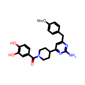 COc1ccc(Cc2cc(C3CCN(C(=O)c4ccc(O)c(O)c4)CC3)nc(N)n2)cc1